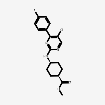 COC(=O)[C@H]1CC[C@@H](Nc2ncc(Cl)c(-c3ccc(F)cc3)n2)CC1